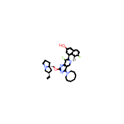 C=C[C@H]1CN2CCC[C@@]2(COc2nc(N3CCCCCCC3)c3cnc(-c4cc(O)cc5ccc(F)c(CC)c45)c(F)c3n2)C1